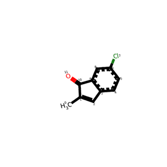 CC1=Cc2ccc(Cl)cc2C1=O